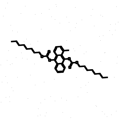 CCCCCCCCOC(=O)Oc1c2ccccc2c(OC(=O)OCCCCCCCC)c2c(C)cccc12